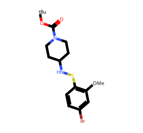 COc1cc(Br)ccc1SNC1CCN(C(=O)OC(C)(C)C)CC1